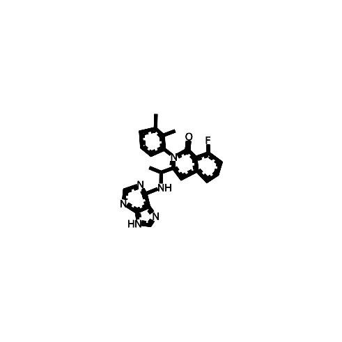 Cc1cccc(-n2c(C(C)Nc3ncnc4[nH]cnc34)cc3cccc(F)c3c2=O)c1C